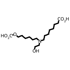 O=C(O)CCCCCCCN(CCO)CCCCCCOC(=O)O